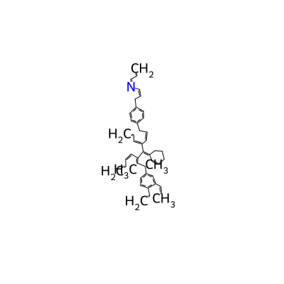 C=C\C=C/C(C(=C1\C=CCCC1)/C(/C=C\Cc1ccc(C/C=C\N=C/C=C)cc1)=C/C=C)=C(\C)C(C)c1ccc(C=C)c(/C=C\C)c1